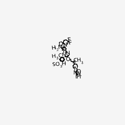 CC(C)c1noc(N2CCC([C@H](C)CCOc3cnc(N4C[C@H](N)[C@@H](N5CC(F)(F)CCC5=O)C4)nc3)CC2)n1.Cc1ccc(S(=O)(=O)O)cc1